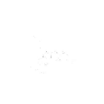 CCN(CC)CC(O)CCn1nc(Nc2c(C)cccc2C)c2cnc(Nc3ccccc3)nc21